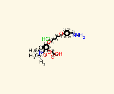 CC(C)N(C(=O)c1ccc(OCCCCCOc2ccc(C=NN)cc2)cc1OCC(=O)O)C(C)C.Cl